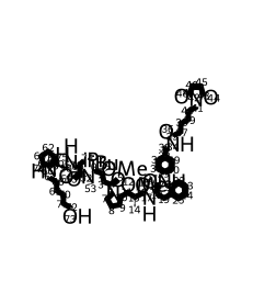 CC[C@H](C)[C@@H]([C@@H](CC(=O)N1CCCC1[C@H](OC)[C@@H](C)C(=O)NC(Cc1ccccc1)C(=O)Nc1ccc(CNC(=O)CCCCCN2C(=O)C=CC2=O)cc1)OC)N(C)C(=O)C(NC(=O)[C@@H]1[C@H]2CC[C@H](C2)N1CCCCCCO)C(C)C